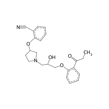 CCC(=O)c1ccccc1OCC(O)CN1CCC(Oc2ccccc2C#N)C1